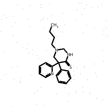 CCCCN1CNC(=S)C(c2ccccc2)(c2ccccn2)C1